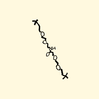 CC(C)(C)CCOCCOCCNC(=O)CCOCCOCCC(C)(C)C